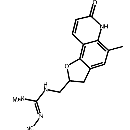 CNC(=NC#N)NCC1Cc2cc(C)c3[nH]c(=O)ccc3c2O1